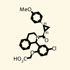 COc1ccc([C@@H]2C[C@H]2C(=O)N2CCc3ccccc3C2c2cc(Cl)ccc2OCC(=O)O)cc1